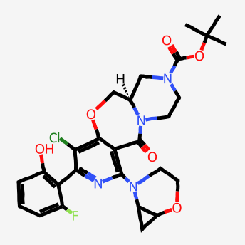 CC(C)(C)OC(=O)N1CCN2C(=O)c3c(N4CCOC5CC54)nc(-c4c(O)cccc4F)c(Cl)c3OC[C@H]2C1